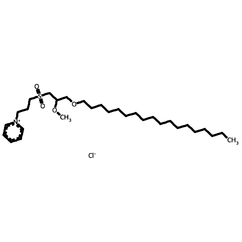 CCCCCCCCCCCCCCCCCCOCC(CS(=O)(=O)CCC[n+]1ccccc1)OC.[Cl-]